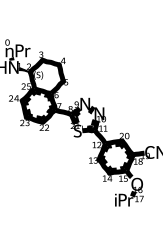 CCCN[C@H]1CCCc2c(-c3nnc(-c4ccc(OC(C)C)c(C#N)c4)s3)cccc21